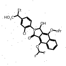 CCCOc1c2c(c(OC(F)F)c3ccccc13)C(=O)N(c1ccc(C(CC)C(=O)O)cc1Cl)C2O